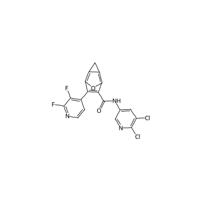 O=C(Nc1cnc(Cl)c(Cl)c1)c1c(-c2ccnc(F)c2F)c2oc1c1c2C1